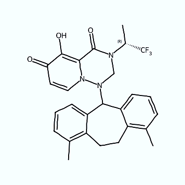 Cc1cccc2c1CCc1c(C)cccc1C2N1CN([C@H](C)C(F)(F)F)C(=O)c2c(O)c(=O)ccn21